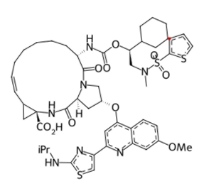 COc1ccc2c(O[C@@H]3C[C@H]4C(=O)N[C@]5(C(=O)O)CC5/C=C\CCCCC[C@H](NC(=O)O[C@H](CN(C)S(=O)(=O)c5cccs5)C5CCCCC5)C(=O)N4C3)cc(-c3csc(NC(C)C)n3)nc2c1